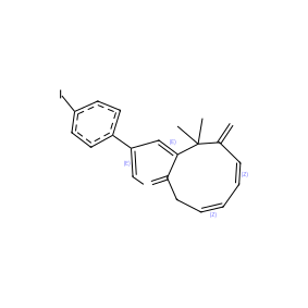 C=C1C/C=C\C=C/C(=C)C(C)(C)/C1=C/C(=C\C)c1ccc(I)cc1